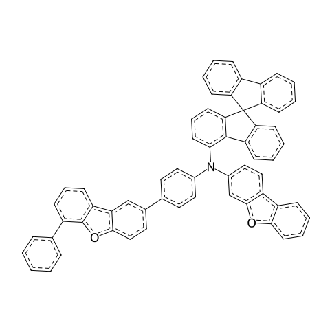 c1ccc(-c2cccc3c2oc2ccc(-c4ccc(N(c5ccc6c(c5)oc5ccccc56)c5cccc6c5-c5ccccc5C65c6ccccc6-c6ccccc65)cc4)cc23)cc1